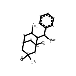 CNC(c1ccccc1)C1C(C)CC2CC(C)(Cl)CC1(Cl)C2